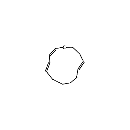 [CH]1/C=C/CCC/C=C\C=C\CCC1